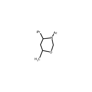 CC(=O)N1COC(C)CC1C(C)C